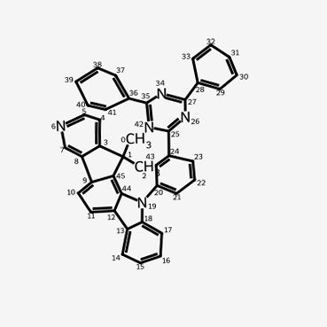 CC1(C)c2ccncc2-c2ccc3c4ccccc4n(-c4cccc(-c5nc(-c6ccccc6)nc(-c6ccccc6)n5)c4)c3c21